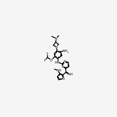 CNc1ccsc1C(=N)c1ccnc(Nc2cc(N)c(N3CC(N(C)C)C3)cc2OC(F)F)n1